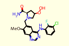 COc1cc2ncnc(Nc3cccc(Cl)c3F)c2cc1CN1CC(OO)C[C@@H]1C(N)=O